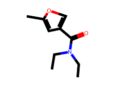 CCN(CC)C(=O)c1coc(C)c1